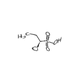 CC[C@H](Cl)S(=O)(=O)O